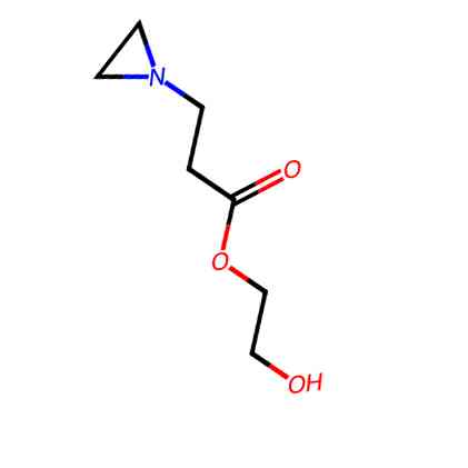 O=C(CCN1CC1)OCCO